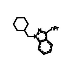 CCCc1nn(CC2CCCCC2)c2ccccc12